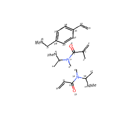 C=C(C)C(=O)N(C)C(C)NC.C=CC(=O)N(C)C(C)NC.C=Cc1ccc(CNC)cc1